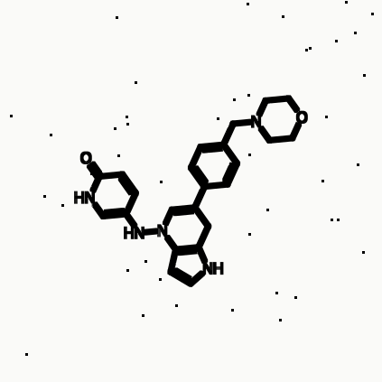 O=c1ccc(NN2C=C(c3ccc(CN4CCOCC4)cc3)Cc3[nH]ccc32)c[nH]1